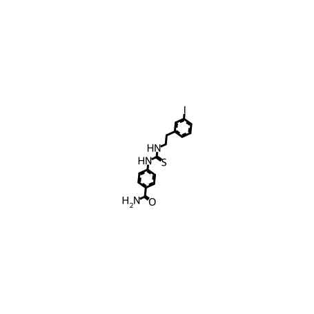 NC(=O)c1ccc(NC(=S)NCCc2cccc(I)c2)cc1